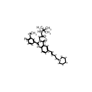 COc1cc(-c2nc3ccc(C=CCCN4CCCCC4)cc3c(=O)n2CC(=O)NC(C)(C)C)ccc1F